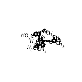 Cc1cc(OCCCc2c3n(c4c(-c5c(C)nn(C)c5C)c(Cl)ccc24)[C@H](C)CN(c2cn(C[C@@H]4CCN(C)C4)c4ccc(C(=O)O)cc24)C3=O)cc(C)c1Cl